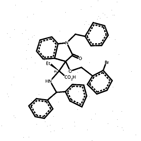 CC[C@](NC(c1ccccc1)c1ccccc1)(C(=O)O)C1(OCc2ccccc2Br)C(=O)N(Cc2ccccc2)c2ccccc21